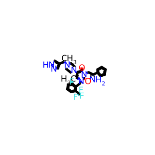 Cc1c(N2CCN(C(C)c3cn[nH]c3)CC2)c(=O)n(C[C@H](N)c2ccccc2)c(=O)n1Cc1c(F)cccc1C(F)(F)F